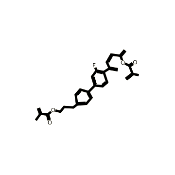 C=C(/C=C\C(=C)c1ccc(-c2ccc(CCCOC(=O)C(=C)C)cc2)cc1F)OC(=O)C(=C)C